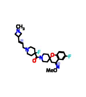 CO/N=C1\CC2(CCN(C(=O)C3(F)CCN(C/C=C/C4CN(C)C4)CC3)CC2)Oc2ccc(F)cc21